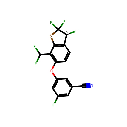 N#Cc1cc(F)cc(Oc2ccc3c(c2C(F)F)SC(F)(F)[C@H]3F)c1